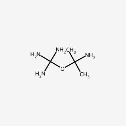 CC(C)(N)OC(N)(N)N